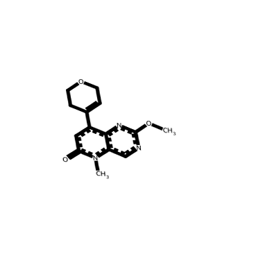 COc1ncc2c(n1)c(C1=CCOCC1)cc(=O)n2C